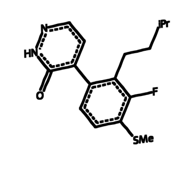 CSc1ccc(-c2ccn[nH]c2=O)c(CCC(C)C)c1F